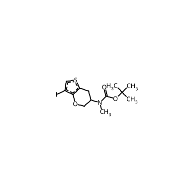 CN(C(=O)OC(C)(C)C)C1COc2c(I)csc2C1